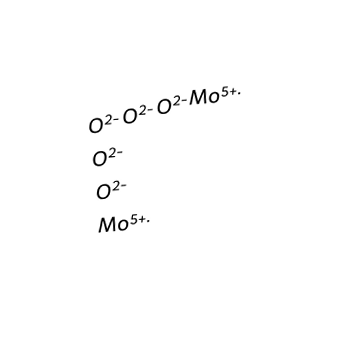 [Mo+5].[Mo+5].[O-2].[O-2].[O-2].[O-2].[O-2]